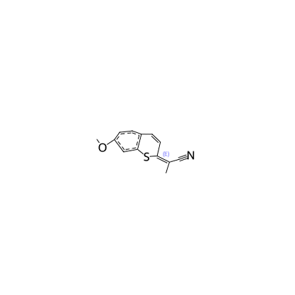 COc1ccc2c(c1)S/C(=C(\C)C#N)C=C2